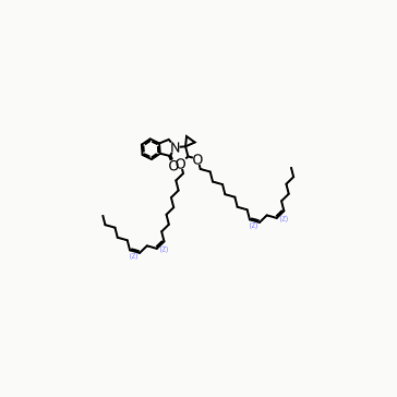 CCCCC/C=C\C/C=C\CCCCCCCCOC(OCCCCCCCC/C=C\C/C=C\CCCCC)C1(N2Cc3ccccc3C2=O)CC1